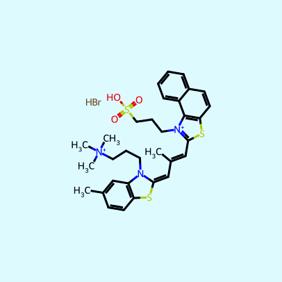 Br.CC(=Cc1sc2ccc3ccccc3c2[n+]1CCCS(=O)(=O)O)C=C1Sc2ccc(C)cc2N1CCC[N+](C)(C)C